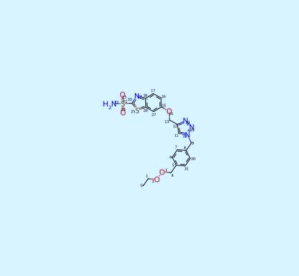 CCOOCc1ccc(Cn2cc(COc3ccc4nc(S(N)(=O)=O)sc4c3)nn2)cc1